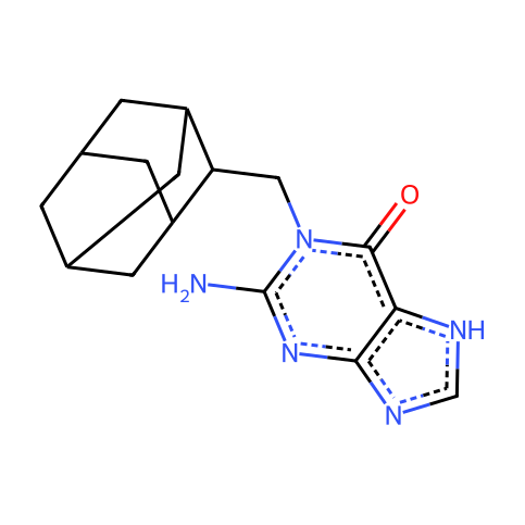 Nc1nc2nc[nH]c2c(=O)n1CC1C2CC3CC(C2)CC1C3